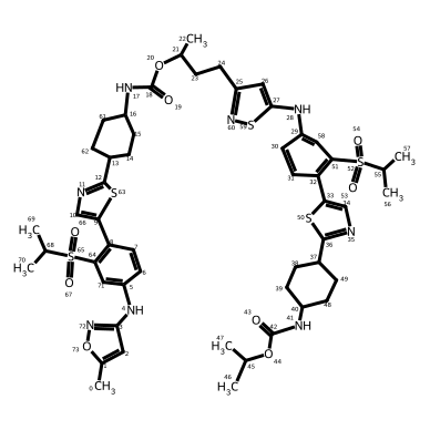 Cc1cc(Nc2ccc(-c3cnc(C4CCC(NC(=O)OC(C)CCc5cc(Nc6ccc(-c7cnc(C8CCC(NC(=O)OC(C)C)CC8)s7)c(S(=O)(=O)C(C)C)c6)sn5)CC4)s3)c(S(=O)(=O)C(C)C)c2)no1